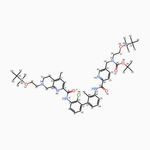 Cc1cc(C(=O)Nc2cccc(-c3cccc(NC(=O)c4ccc(CN(CCO[Si](C)(C)C(C)(C)C)C(=O)OC(C)(C)C)cn4)c3C)c2Cl)nc2c1CCN(CCO[Si](C)(C)C(C)(C)C)C2